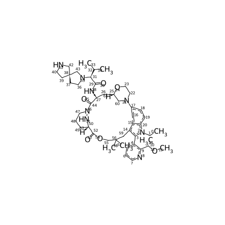 CCn1c(-c2cccnc2[C@H](C)OC)c2c3cc(ccc31)N1CCO[C@@H](C[C@H](NC(=O)[C@H](C(C)C)N3CC[C@]4(CCNC4)C3)C(=O)N3CCC[C@H](N3)C(=O)OCC(C)(C)C2)C1